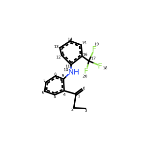 C=C(CC)c1ccccc1Nc1ccccc1C(F)(F)F